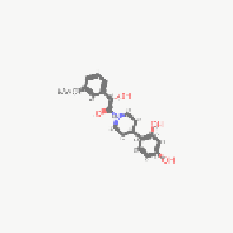 COc1cccc([C@H](O)C(=O)N2CCC(c3ccc(O)cc3O)CC2)c1